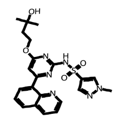 Cn1cc(S(=O)(=O)Nc2nc(OCCC(C)(C)O)cc(-c3cccc4cccnc34)n2)cn1